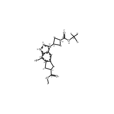 COC(=O)C1Cc2cc3c(nnn3C3CN(C(=O)OC(C)(C)C)C3)c(F)c2C1